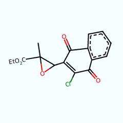 CCOC(=O)C1(C)OC1C1=C(Cl)C(=O)c2ccccc2C1=O